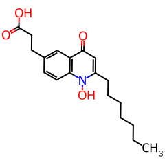 CCCCCCCc1cc(=O)c2cc(CCC(=O)O)ccc2n1O